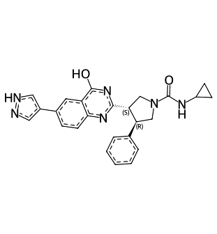 O=C(NC1CC1)N1C[C@@H](c2ccccc2)[C@H](c2nc(O)c3cc(-c4cn[nH]c4)ccc3n2)C1